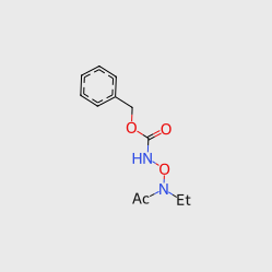 CCN(ONC(=O)OCc1ccccc1)C(C)=O